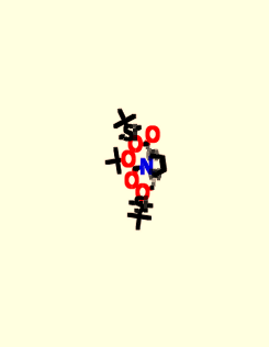 CC(C)(C)OC(=O)N1[C@@H](CO[Si](C)(C)C(C)(C)C)C=C[C@H]1C(=O)O[Si](C)(C)C(C)(C)C